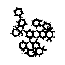 CC1(C)CCC(C)(C)c2cc3c(cc21)B1c2cc4c(cc2N(c2cccc5sc6ccccc6c25)c2cc(N5c6ccc(-c7ccccc7)cc6C6(C)CCCCC56C)cc(c21)N3c1cccc2sc3ccccc3c12)C(C)(C)CCC4(C)C